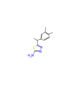 Cc1ccc(C(C)c2nnc(N)s2)cc1C